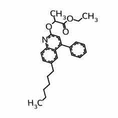 CCCCCCc1ccc2nc(OC(C)C(=O)OCC)cc(-c3ccccc3)c2c1